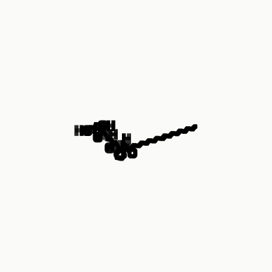 CCCCCCCCC=CCCCCCCCC(=O)Nc1ccccc1NC(=O)CCNC(=O)C(O)C(C)(C)CO